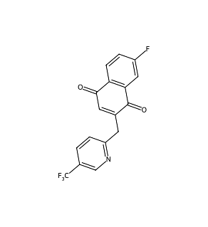 O=C1C=C(Cc2ccc(C(F)(F)F)cn2)C(=O)c2cc(F)ccc21